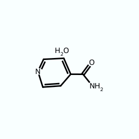 NC(=O)c1ccncc1.O